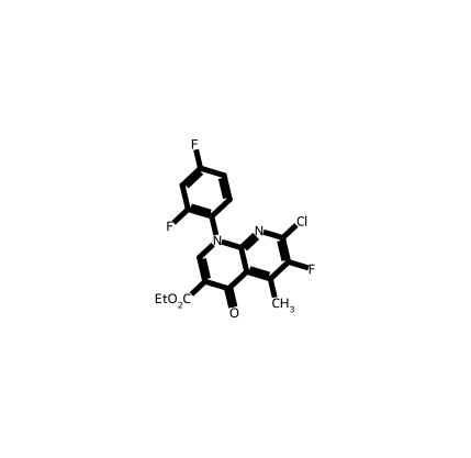 CCOC(=O)c1cn(-c2ccc(F)cc2F)c2nc(Cl)c(F)c(C)c2c1=O